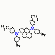 Cc1ccc(N(c2ccc(C(C)C)cc2)c2cc3ccc(N(c4ccc(C)cc4)c4ccc(C(C)C)cc4)c4ccc5cccc2c5c34)cc1